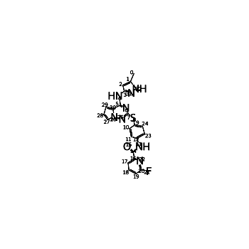 Cc1cc(Nc2nc(Sc3ccc(NC(=O)c4cccc(F)n4)cc3)nn3cccc23)n[nH]1